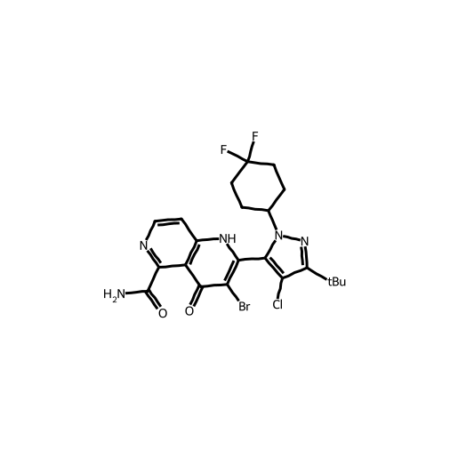 CC(C)(C)c1nn(C2CCC(F)(F)CC2)c(-c2[nH]c3ccnc(C(N)=O)c3c(=O)c2Br)c1Cl